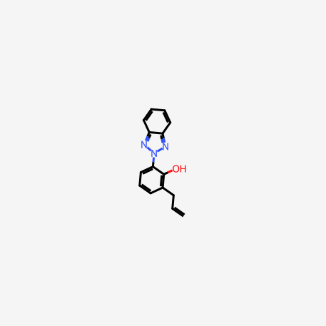 C=CCc1cccc(-n2nc3ccccc3n2)c1O